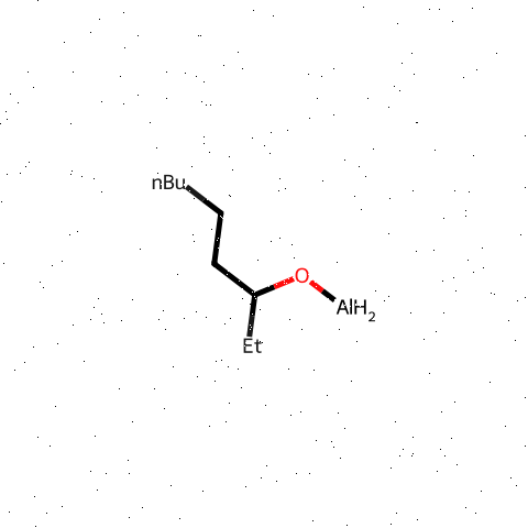 CCCCCCC(CC)[O][AlH2]